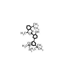 CC(C)c1cccc(C(C)C)c1/N=C/c1cc(-c2cc(C(C)(C)C)cc(C(C)(C)C)c2)ccc1O